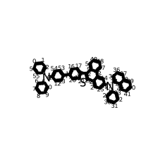 c1ccc(N(c2ccccc2)c2ccc(-c3ccc4c(c3)sc3c5ccc(N(c6ccccc6)c6cccc7ccccc67)cc5c5ccccc5c43)cc2)cc1